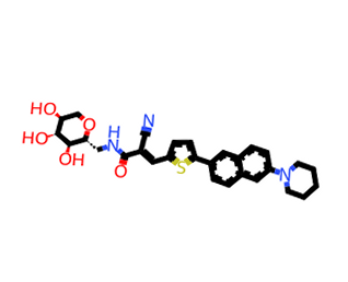 N#C/C(=C\c1ccc(-c2ccc3cc(N4CCCCC4)ccc3c2)s1)C(=O)NC[C@H]1OC[C@H](O)[C@@H](O)[C@@H]1O